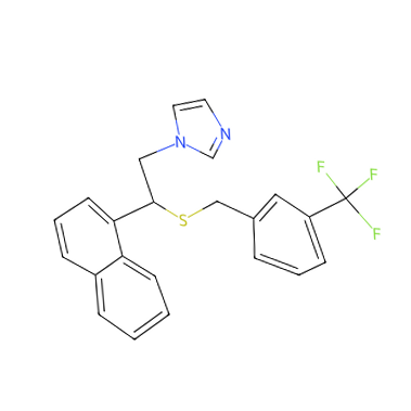 FC(F)(F)c1cccc(CSC(Cn2ccnc2)c2cccc3ccccc23)c1